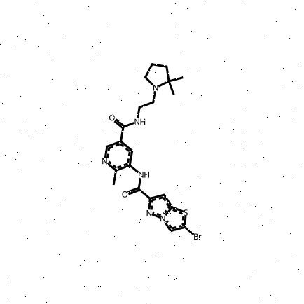 Cc1ncc(C(=O)NCCN2CCCC2(C)C)cc1NC(=O)c1cc2sc(Br)cn2n1